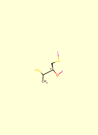 CC(S)[C@@H](CSI)OI